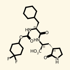 O=C(N[C@@H](CC1CCCCC1)C(=O)N[C@@H](C[C@@H]1CCNC1=O)C(=O)O)OC1CCC(F)(F)CC1